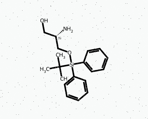 CC(C)(C)[Si](OC[C@@H](N)CO)(c1ccccc1)c1ccccc1